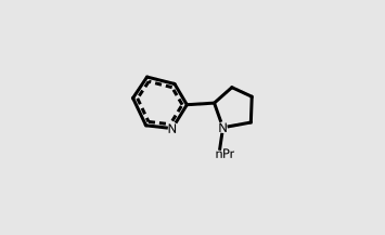 CCCN1CCCC1c1ccccn1